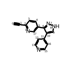 C#Cc1ccc(-c2n[nH]cc2-c2ccncc2)cn1